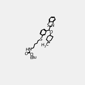 CN1CCC(OC(c2cccc(SCCCCNC(=O)OC(C)(C)C)c2)c2nc3ccccc3s2)CC1